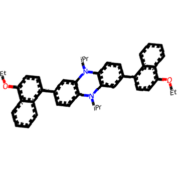 CCOc1ccc(-c2ccc3c(c2)N(C(C)C)c2ccc(-c4ccc(OCC)c5ccccc45)cc2N3C(C)C)c2ccccc12